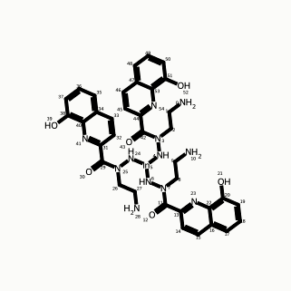 NCCN([NH][In]([NH]N(CCN)C(=O)c1ccc2cccc(O)c2n1)[NH]N(CCN)C(=O)c1ccc2cccc(O)c2n1)C(=O)c1ccc2cccc(O)c2n1